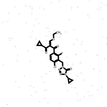 CCO/C=C(\C(=O)c1ccc(Cl)c(Cn2nnn(C3CC3)c2=O)c1F)C(=O)C1CC1